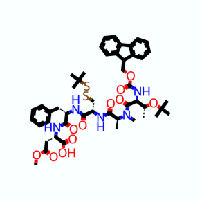 COC(=O)C[C@H](NC(=O)[C@H](Cc1ccccc1)NC(=O)[C@H](CSSC(C)(C)C)NC(=O)[C@H](C)N(C)C(=O)[C@@H](NC(=O)OCC1c2ccccc2-c2ccccc21)[C@@H](C)OC(C)(C)C)C(=O)O